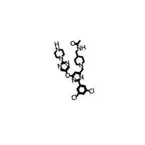 CC(=O)NCC1CCN(Cc2cc(Oc3cnc(N4CCNCC4)nc3)nc(-c3cc(Cl)cc(Cl)c3)n2)CC1